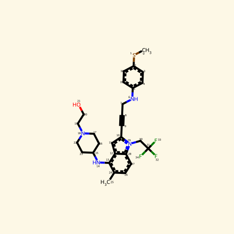 CSc1ccc(NCC#Cc2cc3c(NC4CCN(CCO)CC4)c(C)ccc3n2CC(F)(F)F)cc1